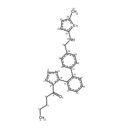 CCCCC(=O)n1nnnc1-c1ccccc1-c1ccc(CNc2ncc(C)s2)cc1